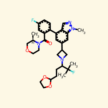 C[C@@H]1COCCN1C(=O)c1cc(F)ccc1-c1cc(C2CN(C(CCC3OCCO3)C(C)(C)F)C2)cc2c1cnn2C